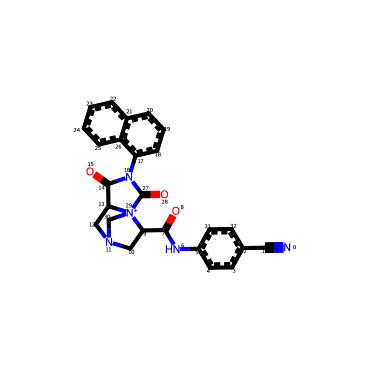 N#Cc1ccc(NC(=O)C2CN3CC4C(=O)N(c5cccc6ccccc56)C(=O)[N+]24C3)cc1